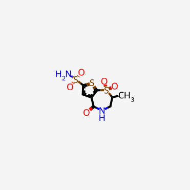 CC1CNC(=O)c2cc(S(N)(=O)=O)sc2S1(=O)=O